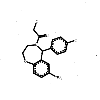 O=C(CCl)N1CCOc2ccc([N+](=O)[O-])cc2C1c1ccc(Cl)cc1